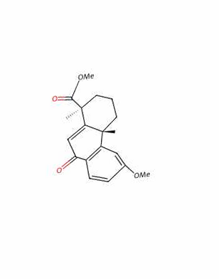 COC(=O)[C@@]1(C)CCC[C@@]2(C)C1=CC(=O)c1ccc(OC)cc12